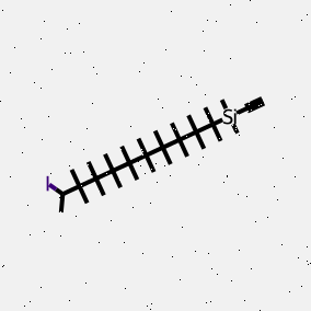 C#C[Si](C)(C)C(C)(C)C(C)(C)C(C)(C)C(C)(C)C(C)(C)C(C)(C)C(C)(C)C(C)(C)C(C)(C)C(C)I